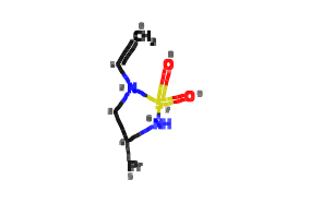 C=CN1CC(C(C)C)NS1(=O)=O